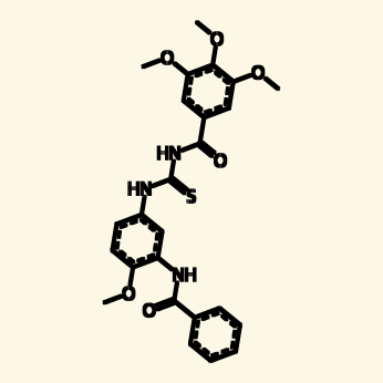 COc1ccc(NC(=S)NC(=O)c2cc(OC)c(OC)c(OC)c2)cc1NC(=O)c1ccccc1